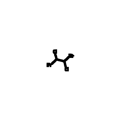 C[CH]C(Cl)C(Cl)C(C)C